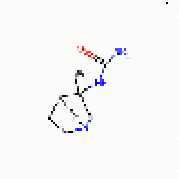 CCCC1(NC(N)=O)CN2CCC1CC2